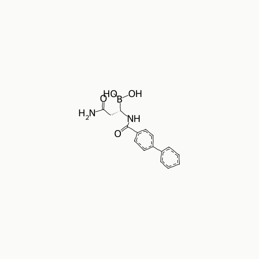 NC(=O)C[C@@H](NC(=O)c1ccc(-c2ccccc2)cc1)B(O)O